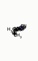 CCCc1nc2c(C)cc(-c3nc(C)co3)cc2n1Cc1ccc2c(c1)CCc1ccccc1/C2=C\C#N